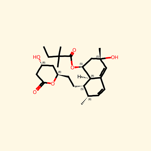 CCC(C)(C)C(=O)O[C@H]1C[C@](C)(O)C=C2C=C[C@H](C)[C@H](CC[C@@H]3C[C@@H](O)CC(=O)O3)[C@H]21